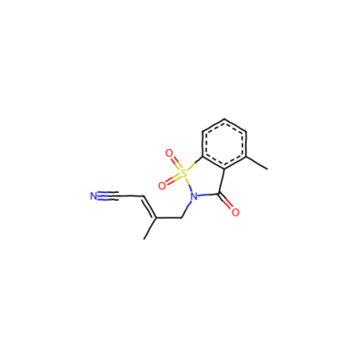 CC(=CC#N)CN1C(=O)c2c(C)cccc2S1(=O)=O